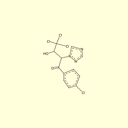 O=C(c1ccc(Cl)cc1)C(C(O)C(Cl)(Cl)Cl)n1cncn1